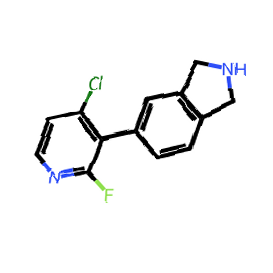 Fc1nccc(Cl)c1-c1ccc2c(c1)CNC2